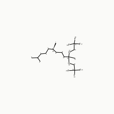 CC(C)CCC[C@@H](C)CCCC(C)(OCC(F)(F)F)OCC(F)(F)F